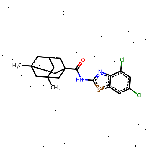 CC12CC3CC(C)(C1)CC(C(=O)Nc1nc4c(Cl)cc(Cl)cc4s1)(C3)C2